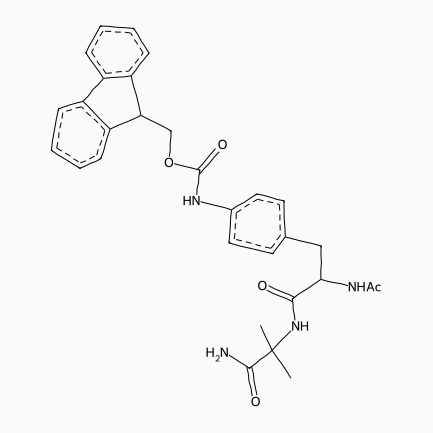 CC(=O)NC(Cc1ccc(NC(=O)OCC2c3ccccc3-c3ccccc32)cc1)C(=O)NC(C)(C)C(N)=O